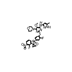 COc1c(Nc2cc(C)[nH]n2)nc(Sc2ccc(S(=O)(=O)C3(c4cccc([N+](=O)[O-])c4F)CC3)cc2F)nc1N1CCOCC1